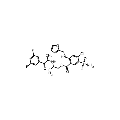 C[C@H](COC(=O)c1cc(S(N)(=O)=O)c(Cl)cc1NCc1ccco1)N[C@H](C)C(=O)c1cc(F)cc(F)c1